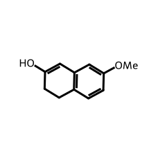 COc1ccc2c(c1)C=C(O)CC2